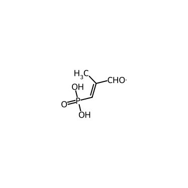 CC([C]=O)=CP(=O)(O)O